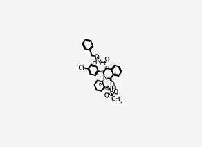 CS(=O)(=O)N[C@H]1CCCC[C@@H]1N1C(=O)c2ccccc2[C@@H](C(=O)NOCc2ccccc2)[C@@H]1c1ccc(Cl)cc1